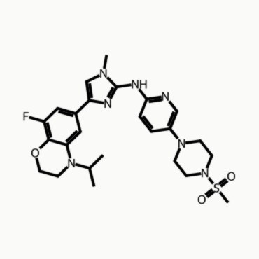 CC(C)N1CCOc2c(F)cc(-c3cn(C)c(Nc4ccc(N5CCN(S(C)(=O)=O)CC5)cn4)n3)cc21